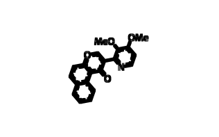 COc1ccnc(-c2coc3ccc4ccccc4c3c2=O)c1OC